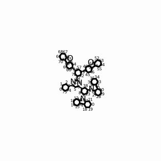 c1ccc(-c2cc(-c3cc(-n4c5ccccc5c5ccccc54)cc(-n4c5ccccc5c5ccccc54)c3)nc(-c3cc(-c4ccc5c(c4)oc4ccccc45)cc(-c4ccc5c(c4)oc4ccccc45)c3)n2)cc1